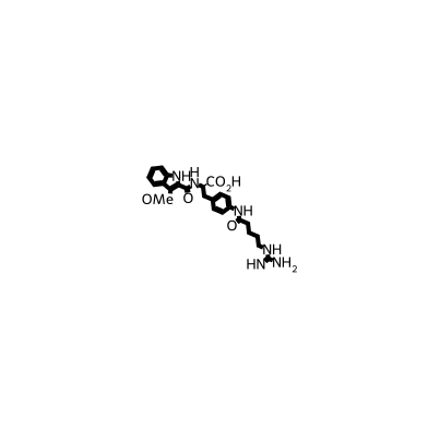 COc1c(C(=O)N[C@@H](Cc2ccc(NC(=O)CCCCNC(=N)N)cc2)C(=O)O)[nH]c2ccccc12